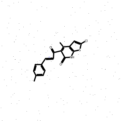 Cc1ccc(/C=C/C(=O)c2c(C)c3cc(Cl)sc3[nH]c2=O)cc1